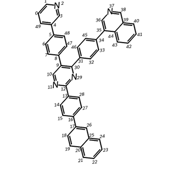 c1cncc(-c2ccc(-c3cnc(-c4ccc(-c5ccc6ccccc6c5)cc4)nc3-c3ccc(-c4cncc5ccccc45)cc3)cc2)c1